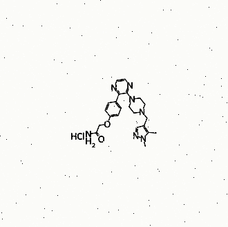 Cc1c(CN2CCN(c3nccnc3-c3ccc(OCC(N)=O)cc3)CC2)cnn1C.Cl